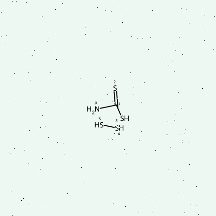 NC(=S)S.SS